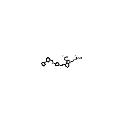 O=C(O)CCCn1cc(CC(=O)O)c2c(C=Cc3ccc(OCc4cccc(-c5ccccc5)c4)cc3)cccc21